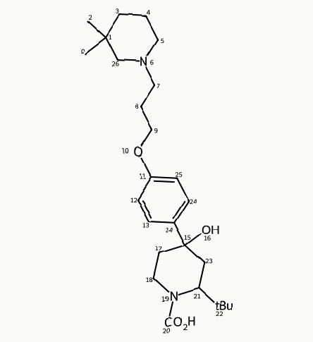 CC1(C)CCCN(CCCOc2ccc(C3(O)CCN(C(=O)O)C(C(C)(C)C)C3)cc2)C1